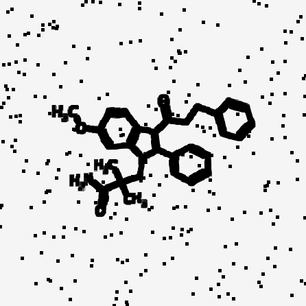 COc1ccc2c(C(=O)CCc3ccccc3)c(-c3ccccc3)n(CC(C)(C)C(N)=O)c2c1